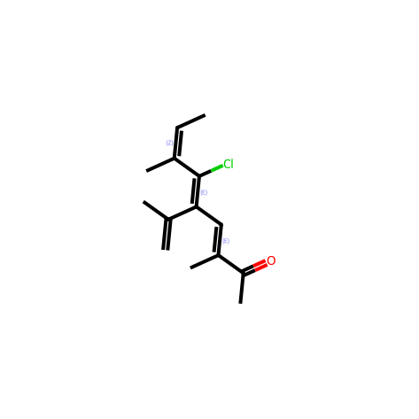 C=C(C)C(/C=C(\C)C(C)=O)=C(Cl)\C(C)=C/C